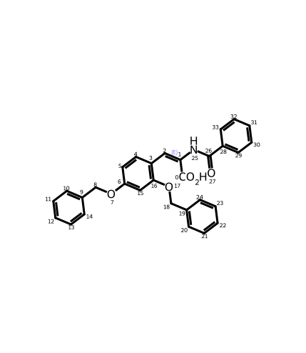 O=C(O)/C(=C\c1ccc(OCc2ccccc2)cc1OCc1ccccc1)NC(=O)c1ccccc1